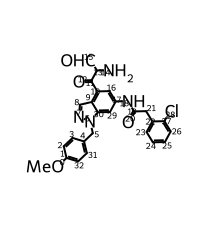 COc1ccc(Cn2ncc3c(C(=O)C(N)C=O)cc(NC(=O)Cc4ccccc4Cl)cc32)cc1